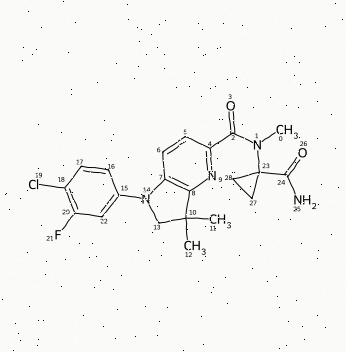 CN(C(=O)c1ccc2c(n1)C(C)(C)CN2c1ccc(Cl)c(F)c1)C1(C(N)=O)CC1